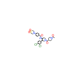 CC(=O)N1CCC(C(=O)N2CC[C@@H](N(C)C(=O)c3ccc(N4CCS(=O)(=O)CC4)cc3)[C@H](c3ccc(Cl)c(Cl)c3)C2)CC1